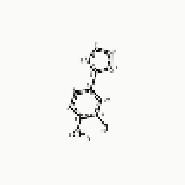 Cc1ccc(-c2nccs2)cc1I